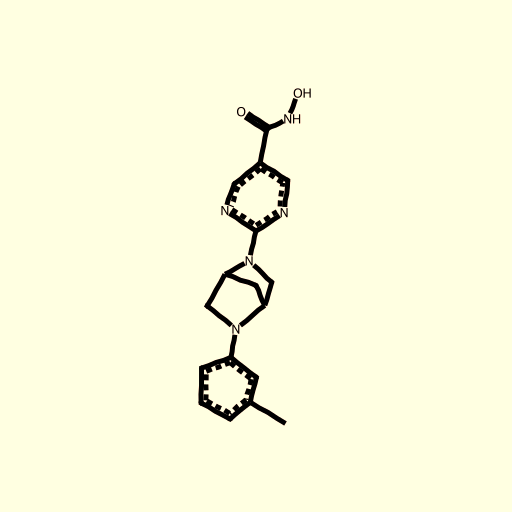 Cc1cccc(N2CC3CC2CN3c2ncc(C(=O)NO)cn2)c1